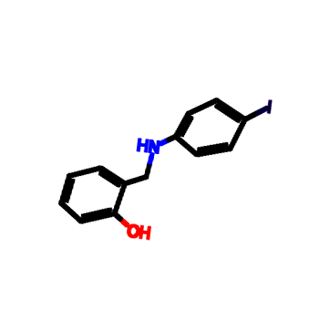 Oc1ccccc1CNc1ccc(I)cc1